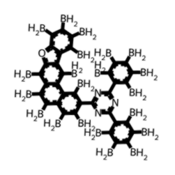 Bc1c(B)c(B)c(-c2nc(-c3c(B)c(B)c(B)c(B)c3B)nc(-c3c(B)c(B)c4c(B)c(B)c5c(B)c6oc7c(B)c(B)c(B)c(B)c7c6c(B)c5c4c3B)n2)c(B)c1B